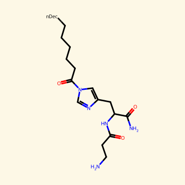 CCCCCCCCCCCCCCCC(=O)n1cnc(CC(NC(=O)CCN)C(N)=O)c1